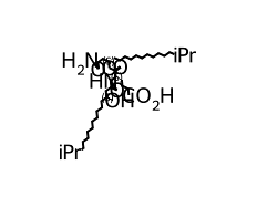 CC(C)CCCCCCCCCCC[C@@H](CC(N)=O)OC(=O)[C@H](CCCC(=O)O)NC(=O)C[C@@H](O)CCCCCCCCCCC(C)C